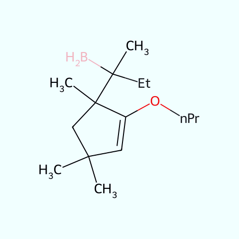 BC(C)(CC)C1(C)CC(C)(C)C=C1OCCC